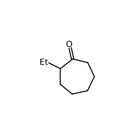 [CH2]CC1CCCCCC1=O